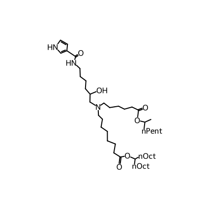 CCCCCCCCC(CCCCCCCC)OC(=O)CCCCCCCN(CCCCCC(=O)OC(C)CCCCC)CC(O)CCCCNC(=O)c1cc[nH]c1